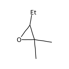 CCC1OC1(C)C